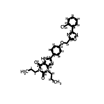 CCCn1c(=O)c2[nH]c(-c3ccc(OCc4nc(-c5ccccc5Cl)no4)cc3)nc2n(CCC)c1=O